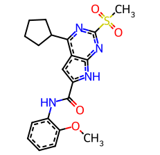 COc1ccccc1NC(=O)c1cc2c(C3CCCC3)nc(S(C)(=O)=O)nc2[nH]1